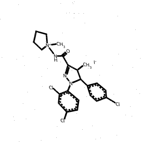 CC1C(C(=O)N[N+]2(C)CCCC2)=NN(c2ccc(Cl)cc2Cl)C1c1ccc(Cl)cc1.[I-]